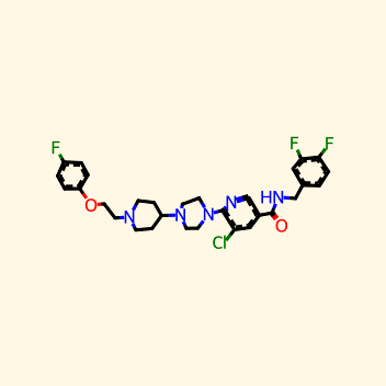 O=C(NCc1ccc(F)c(F)c1)c1cnc(N2CCN(C3CCN(CCOc4ccc(F)cc4)CC3)CC2)c(Cl)c1